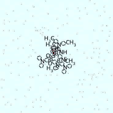 C=C/C=C\c1sc2c(c1C)Oc1cc(N(c3ccc(C)cc3)c3ccc(C)cc3)cc3c1B2c1cc2c(cc1N3)N(SC)c1cc(N(c3ccccc3)c3ccccc3)cc3c1B2c1cc2c(cc1N3SC)Oc1cc(N(c3ccccc3)c3ccccc3)cc3c1B2c1sc2ccccc2c1O3